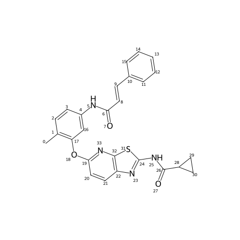 Cc1ccc(NC(=O)/C=C/c2ccccc2)cc1Oc1ccc2nc(NC(=O)C3CC3)sc2n1